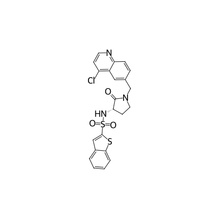 O=C1[C@@H](NS(=O)(=O)c2cc3ccccc3s2)CCN1Cc1ccc2nccc(Cl)c2c1